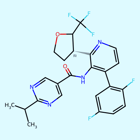 CC(C)c1ncc(C(=O)Nc2c(-c3cc(F)ccc3F)ccnc2[C@@H]2CCOC2C(F)(F)F)cn1